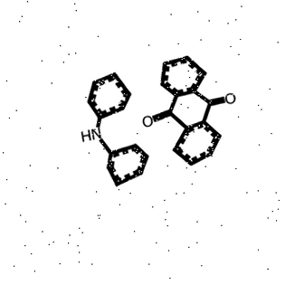 O=C1c2ccccc2C(=O)c2ccccc21.c1ccc(Nc2ccccc2)cc1